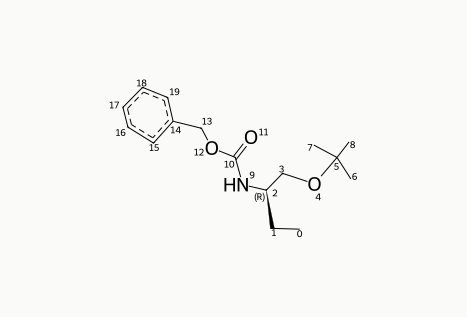 CC[C@H](COC(C)(C)C)NC(=O)OCc1ccccc1